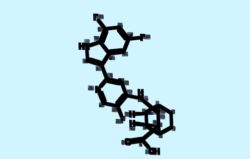 O=C(O)[C@H]1C2CCC(CC2)[C@@H]1Nc1nc(-c2c[nH]c3c(F)cc(F)cc23)ncc1F